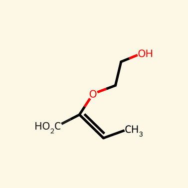 CC=C(OCCO)C(=O)O